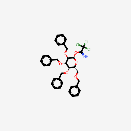 N=C(O[C@H]1O[C@H](COCc2ccccc2)[C@H](OCc2ccccc2)[C@H](OCc2ccccc2)[C@H]1OCc1ccccc1)C(Cl)(Cl)Cl